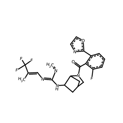 C=N/C(=N\C=C(/C)C(F)(F)F)NC1CC2CC1N(C(=O)c1c(F)cccc1-c1ncco1)C2